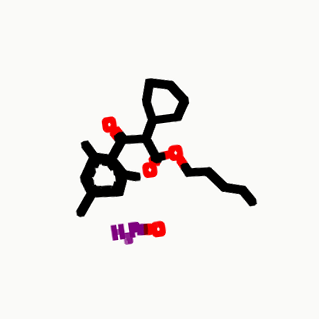 CCCCCOC(=O)C(C(=O)c1c(C)cc(C)cc1C)C1CCCCC1.O=[PH3]